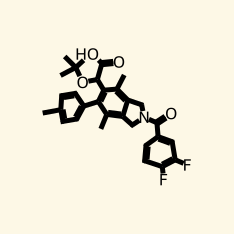 Cc1ccc(-c2c(C)c3c(c(C)c2C(OC(C)(C)C)C(=O)O)CN(C(=O)c2ccc(F)c(F)c2)C3)cc1